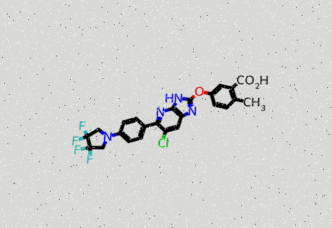 Cc1ccc(Oc2nc3cc(Cl)c(-c4ccc(N5CC(F)(F)C(F)(F)C5)cc4)nc3[nH]2)cc1C(=O)O